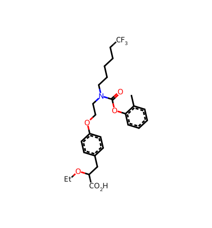 CCOC(Cc1ccc(OCCN(CCCCCC(F)(F)F)C(=O)Oc2ccccc2C)cc1)C(=O)O